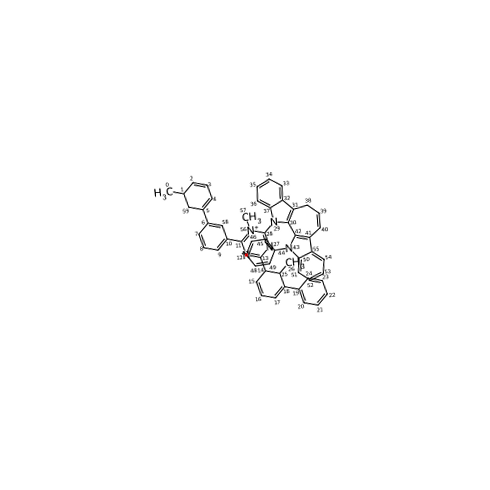 CC1C=CC=C(c2cccc(-c3nc(C4C=CC=C(c5ccccc5)C4C)nc(-n4c5c(c6ccccc64)CC=Cc4c-5n(-c5ccccc5)c5ccccc45)[n+]3C)c2)C1